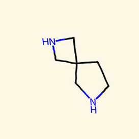 C1CC2(CN1)CNC2